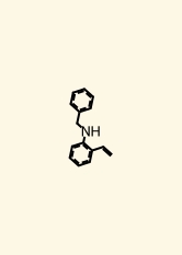 C=Cc1ccccc1NCc1ccccc1